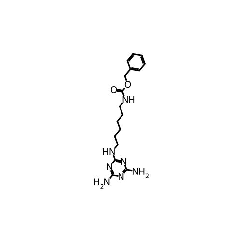 Nc1nc(N)nc(NCCCCCCNC(=O)OCc2ccccc2)n1